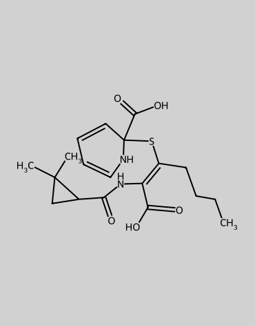 CCCCC(SC1(C(=O)O)C=CC=CN1)=C(NC(=O)C1CC1(C)C)C(=O)O